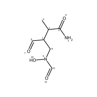 CC(C(N)=O)C([C]=O)CN(O)C=O